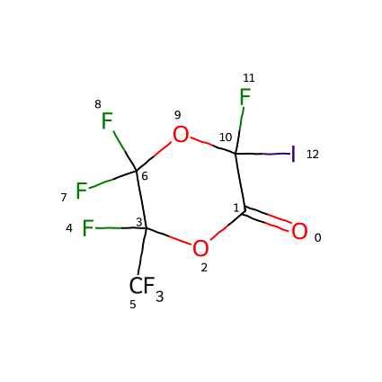 O=C1OC(F)(C(F)(F)F)C(F)(F)OC1(F)I